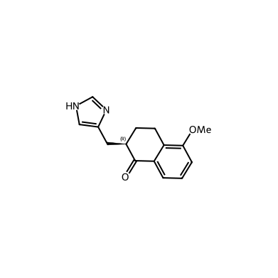 COc1cccc2c1CC[C@H](Cc1c[nH]cn1)C2=O